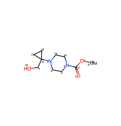 CC(C)(C)OC(=O)N1CCN(C2(CO)CC2)CC1